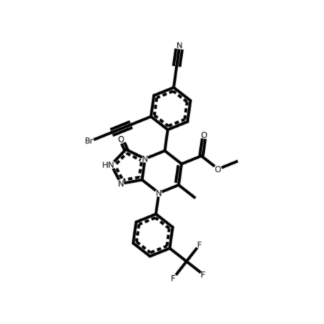 COC(=O)C1=C(C)N(c2cccc(C(F)(F)F)c2)c2n[nH]c(=O)n2C1c1ccc(C#N)cc1C#CBr